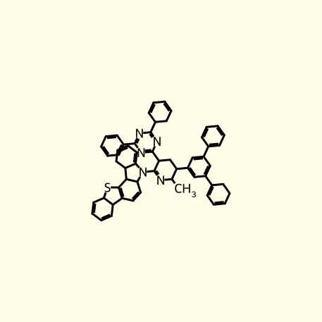 CC1N=C(N2C3=CC=CCC3C3C4=C(C=CC32)C2C=CC=CC2S4)C(c2nc(-c3ccccc3)nc(C3C=CC=CC3)n2)CC1c1cc(C2=CC=CCC2)cc(-c2ccccc2)c1